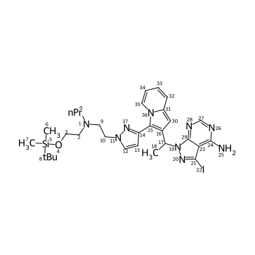 CCCN(CCO[Si](C)(C)C(C)(C)C)CCn1ccc(-c2c(C(C)n3nc(I)c4c(N)ncnc43)cc3ccccn23)n1